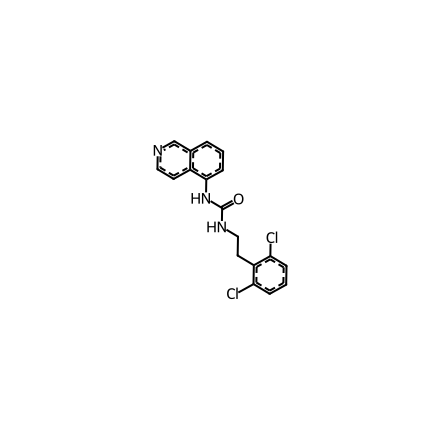 O=C(NCCc1c(Cl)cccc1Cl)Nc1cccc2cnccc12